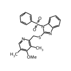 COc1c(C)cnc(CSc2nc3ccccc3n2S(=O)(=O)c2ccccc2)c1C